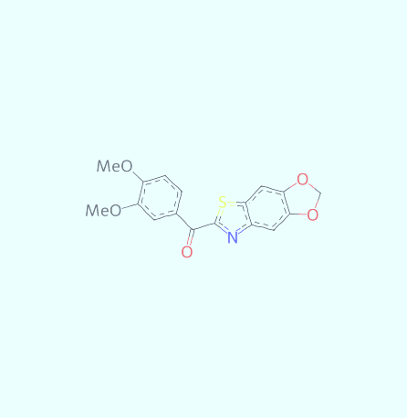 COc1ccc(C(=O)c2nc3cc4c(cc3s2)OCO4)cc1OC